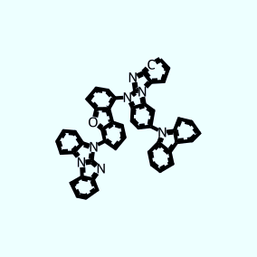 c1ccc2c(c1)nc1n(-c3cccc4c3oc3cccc(-n5c6ccc(-n7c8ccccc8c8ccccc87)cc6n6c7ccccc7nc56)c34)c3ccccc3n21